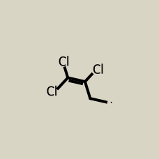 [CH2]CC(Cl)=C(Cl)Cl